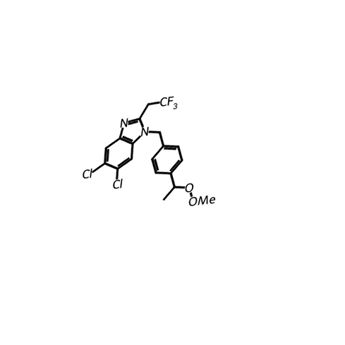 COOC(C)c1ccc(Cn2c(CC(F)(F)F)nc3cc(Cl)c(Cl)cc32)cc1